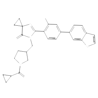 O=C(C1CC1)N1CCC(CN2C(=O)C3(CC3)N=C2c2ccc(-c3ccc4cc[nH]c4c3)cc2F)C1